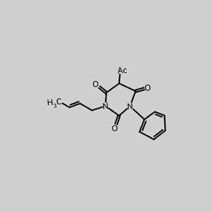 CC=CCN1C(=O)C(C(C)=O)C(=O)N(c2ccccc2)C1=O